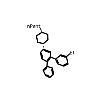 CCCCC[C@H]1CC[C@H](c2ccc(-c3ccccc3)c(-c3cccc(CC)c3)c2)CC1